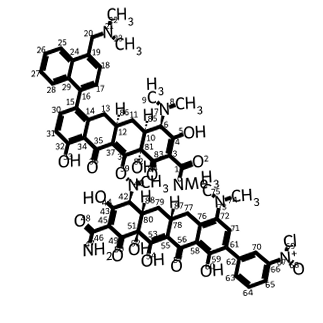 CNC(=O)C1=C(O)[C@H](N(C)C)[C@@H]2C[C@@H]3Cc4c(-c5ccc(CN(C)C)c6ccccc56)ccc(O)c4C(=O)C3=C(ON(C)[C@@H]3C(O)=C(C(N)=O)C(=O)[C@@]4(O)C(O)=C5C(=O)c6c(O)c(-c7cccc([N+](=O)Cl)c7)cc(N(C)C)c6C[C@H]5C[C@@H]34)[C@]2(O)C1=O